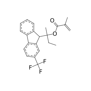 C=C(C)C(=O)OC(C)(CC)C1c2ccccc2-c2ccc(C(F)(F)F)cc21